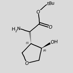 CC(C)(C)OC(=O)C(N)[C@H]1COC[C@@H]1O